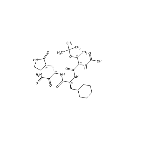 C[C@@H](OC(C)(C)C)[C@H](NC(=O)O)C(=O)N[C@@H](CC1CCCCC1)C(=O)N[C@@H](C[C@@H]1CCNC1=O)C(=O)C(N)=O